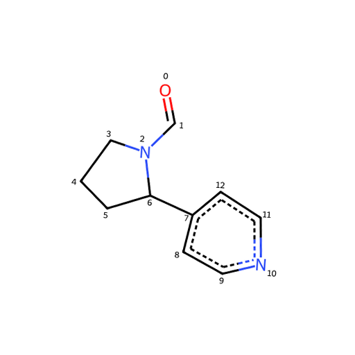 O=CN1CCCC1c1ccncc1